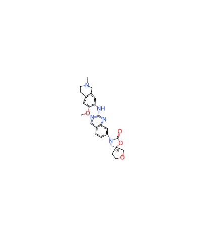 COc1cc2c(cc1Nc1ncc3ccc(N4C[C@]5(CCOC5)OC4=O)cc3n1)CN(C)CC2